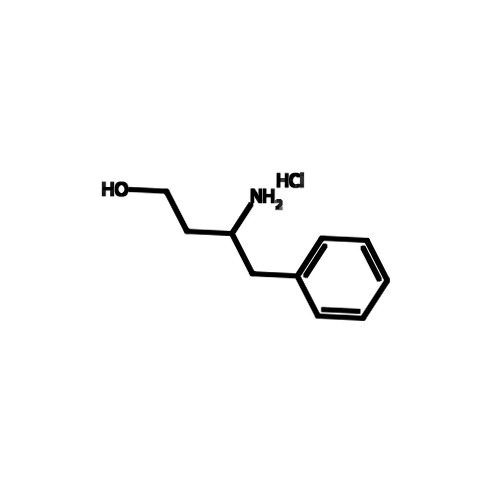 Cl.NC(CCO)Cc1ccccc1